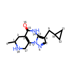 CC1Cc2c(n3ncc(CC4CC4)c3[nH]c2=O)CN1